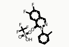 Cc1ccccc1-n1ncc2cc(F)c(F)cc2c1=O.O=S(=O)(O)C(F)(F)F